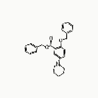 O=C(OCc1ccccc1)c1cc(N2CCCCC2)ccc1OCc1ccccc1